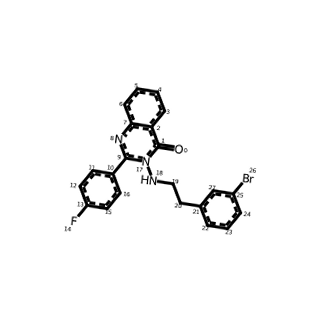 O=c1c2ccccc2nc(-c2ccc(F)cc2)n1NCCc1cccc(Br)c1